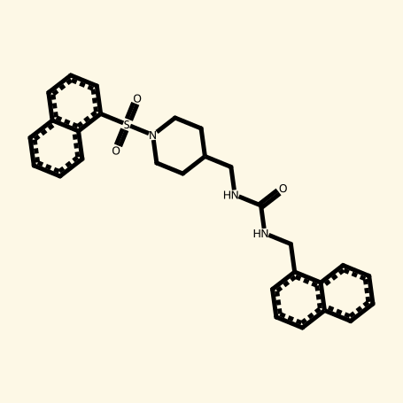 O=C(NCc1cccc2ccccc12)NCC1CCN(S(=O)(=O)c2cccc3ccccc23)CC1